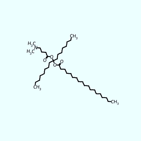 CCCCCCCCCCCCCCCCCCC(=O)OC(CCCCCCCC)(CCCCCCCC)OC(=O)CCCN(C)C